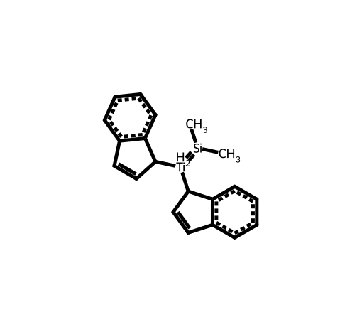 C[Si](C)=[TiH2]([CH]1C=Cc2ccccc21)[CH]1C=Cc2ccccc21